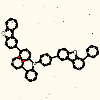 c1ccc(-c2ccccc2N(c2ccc(-c3ccc4oc5ccccc5c4c3)cc2)c2ccc(-c3ccc4oc5c(-c6ccccc6)cccc5c4c3)cc2)cc1